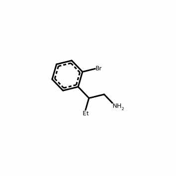 CCC(CN)c1ccccc1Br